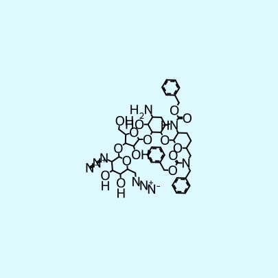 CC1CC(N)C(O)C(OC2OC(CO)C(OC3OC(CN=[N+]=[N-])C(O)C(O)C3N=[N+]=[N-])C2O)C1OC1OC(CN(Cc2ccccc2)C(=O)OCc2ccccc2)CCC1NC(=O)OCc1ccccc1